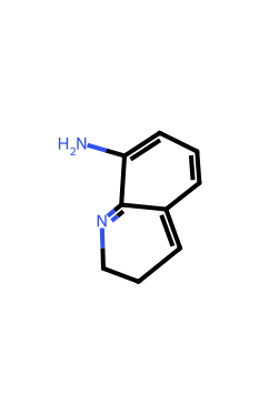 Nc1cccc2c1=NCCC=2